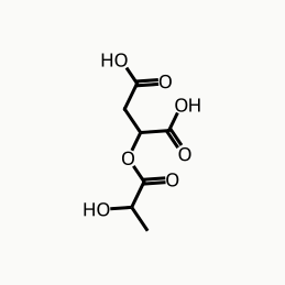 CC(O)C(=O)OC(CC(=O)O)C(=O)O